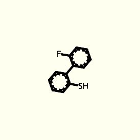 Fc1ccccc1-c1ccccc1S